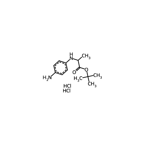 CC(Nc1ccc(N)cc1)C(=O)OC(C)(C)C.Cl.Cl